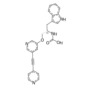 O=C(O)N[C@H](COc1cncc(C#Cc2ccncc2)c1)Cc1c[nH]c2ccccc12